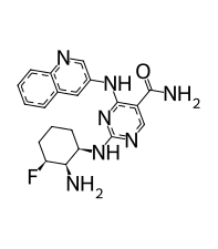 NC(=O)c1cnc(N[C@@H]2CCC[C@H](F)[C@@H]2N)nc1Nc1cnc2ccccc2c1